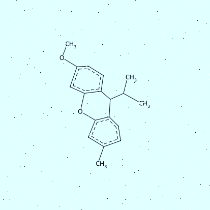 COc1ccc2c(c1)Oc1cc(C)ccc1C2C(C)C